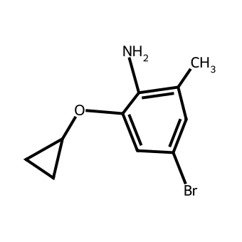 Cc1cc(Br)cc(OC2CC2)c1N